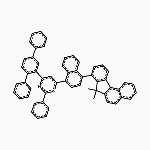 CC1(C)c2ccc3ccccc3c2-c2cccc(-c3ccc(-c4cc(-c5cc(-c6ccccc6)ccc5-c5ccccc5)nc(-c5ccccc5)n4)c4ccccc34)c21